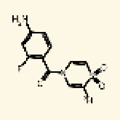 [2H]C1=CN(C(=O)c2ccc(N)cc2F)C=CS1(=O)=O